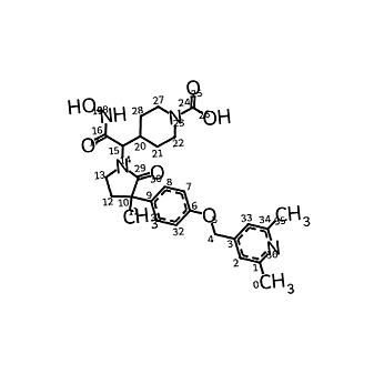 Cc1cc(COc2ccc(C3(C)CCN(C(C(=O)NO)C4CCN(C(=O)O)CC4)C3=O)cc2)cc(C)n1